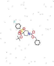 CC(C)(C)OC(=O)C1(S(=O)(=O)c2ccc(F)cc2)CCN(C(=O)OCc2ccccc2)CC1